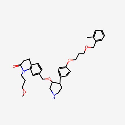 COCCCN1C(=O)CCc2ccc(COC3CNCCC3c3ccc(OCCCOCc4ccccc4C)cc3)cc21